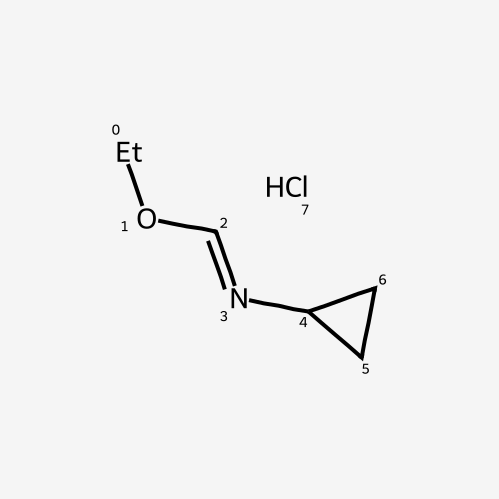 CCOC=NC1CC1.Cl